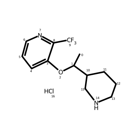 CC(Oc1cccnc1C(F)(F)F)C1CCCNC1.Cl